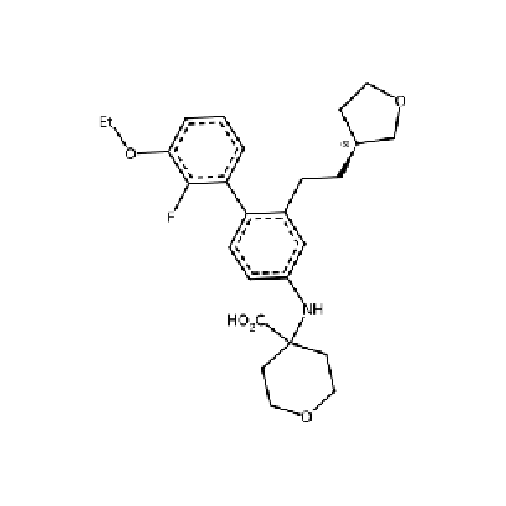 CCOc1cccc(-c2ccc(NC3(C(=O)O)CCOCC3)cc2CC[C@H]2CCOC2)c1F